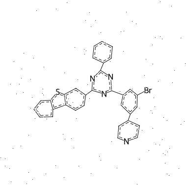 Brc1cc(-c2ccncc2)cc(-c2nc(-c3ccccc3)nc(-c3ccc4c(c3)sc3ccccc34)n2)c1